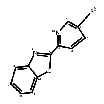 Brc1ccc(-c2nc3ccccc3o2)nc1